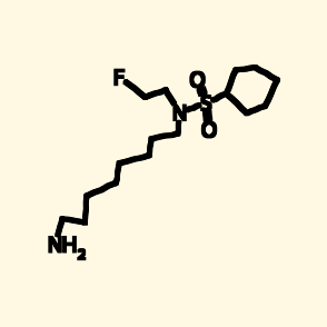 NCCCCCCCCN(CCF)S(=O)(=O)C1CCCCC1